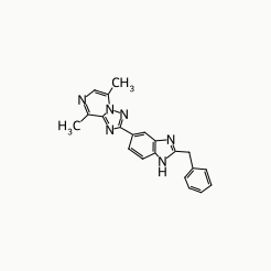 Cc1ncc(C)n2nc(-c3ccc4[nH]c(Cc5ccccc5)nc4c3)nc12